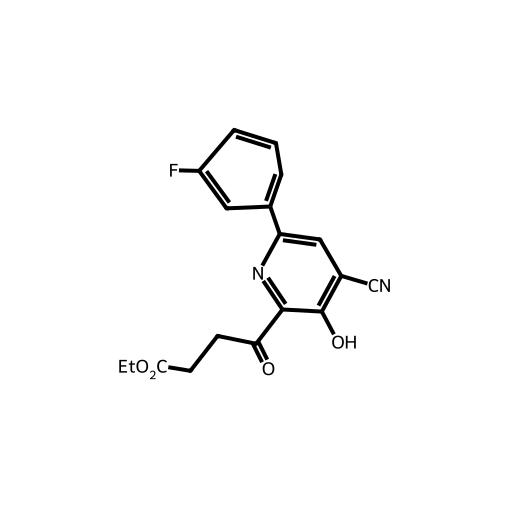 CCOC(=O)CCC(=O)c1nc(-c2cccc(F)c2)cc(C#N)c1O